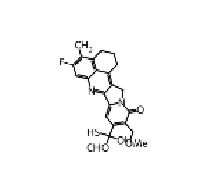 COCc1c(C(O)(S)C=O)cc2n(c1=O)Cc1c-2nc2cc(F)c(C)c3c2c1CCC3